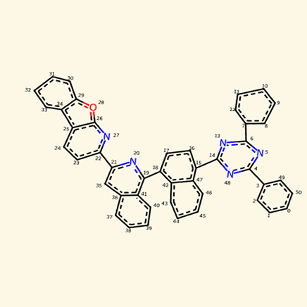 c1ccc(-c2nc(-c3ccccc3)nc(-c3ccc(-c4nc(-c5ccc6c(n5)oc5ccccc56)cc5ccccc45)c4ccccc34)n2)cc1